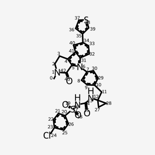 CN1CCc2c(n(-c3ccc(CC4(NC(=O)NS(=O)(=O)c5ccc(Cl)cc5)CC4)cc3)c3ccc(-c4ccsc4)cc23)C1=O